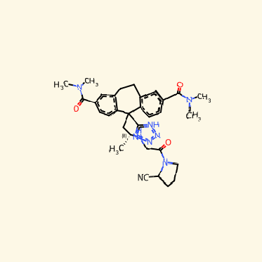 C[C@H](CC1(c2nnn[nH]2)c2ccc(C(=O)N(C)C)cc2CCc2cc(C(=O)N(C)C)ccc21)NCC(=O)N1CCCC1C#N